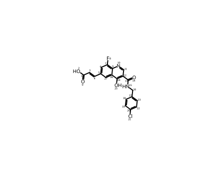 O=C(O)/C=C/c1cc(F)c2ncc(C(=O)NCc3ccc(Cl)cc3)c(O)c2c1